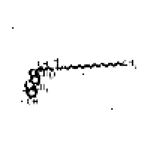 CCCCCCCCCCCCCCCCCCNC(=O)CC[C@@H](C)[C@H]1CCC2C3CC[C@@H]4C[C@H](O)CC[C@]4(C)C3CC[C@@]21C